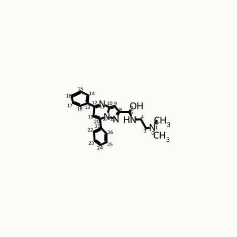 CN(C)CCNC(O)c1cc2nc(-c3ccccc3)cc(-c3ccccc3)n2n1